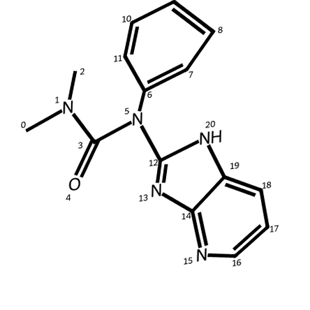 CN(C)C(=O)N(c1ccccc1)c1nc2ncccc2[nH]1